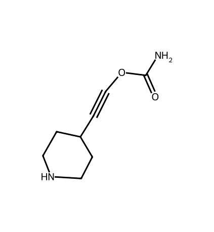 NC(=O)OC#CC1CCNCC1